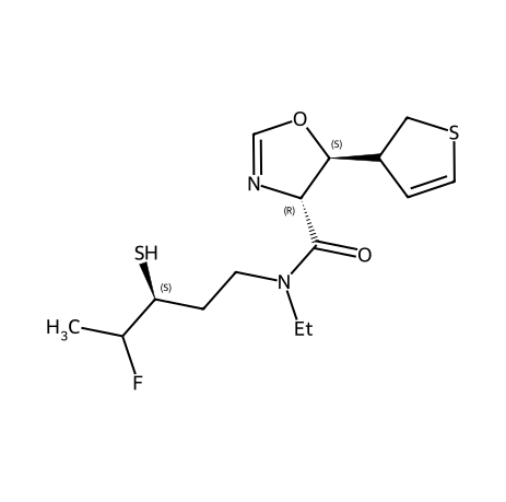 CCN(CC[C@H](S)C(C)F)C(=O)[C@@H]1N=CO[C@H]1C1C=CSC1